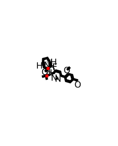 COc1cc(C=O)ccc1-c1ccc(N(C)[C@H]2C[C@@H]3CC[C@@H]([C@H]2F)N3C(=O)OC(C)(C)C)nn1